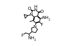 Cc1c(N2CCC(C(N)CF)C2)c(F)c(N)c2c(=O)[nH]c(=O)n(C3CC3)c12